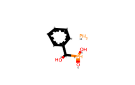 O=[PH](O)C(O)c1ccccc1.P